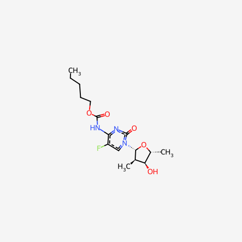 CCCCCOC(=O)Nc1nc(=O)n([C@@H]2O[C@H](C)[C@@H](O)[C@H]2C)cc1F